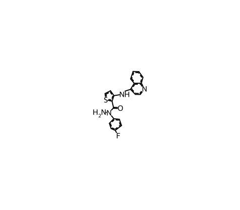 NN(C(=O)c1sccc1NCc1ccnc2ccccc12)c1ccc(F)cc1